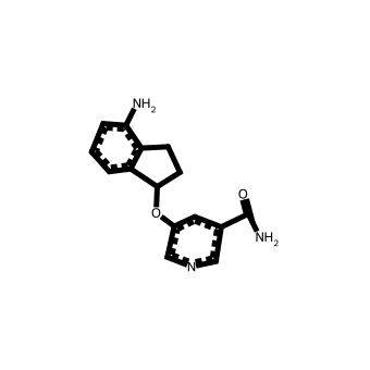 NC(=O)c1cncc(OC2CCc3c(N)cccc32)c1